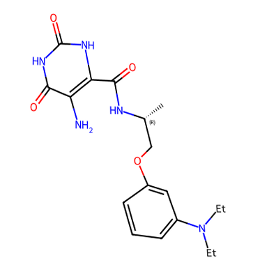 CCN(CC)c1cccc(OC[C@@H](C)NC(=O)c2[nH]c(=O)[nH]c(=O)c2N)c1